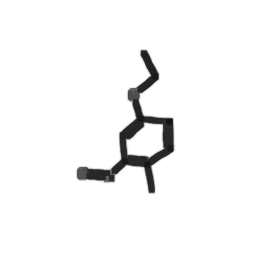 CCOc1ccc(C)c(N=O)c1